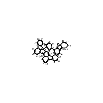 C1=C[C@H]2C3=C(C=C4C5=C(C=CCC5)C(=C1)C42)C1(c2ccccc23)c2ccccc2-c2ccc(-c3cccc4c5c(sc34)C=CCC5)cc21